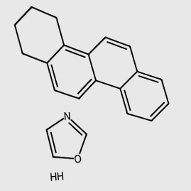 [HH].c1ccc2c(c1)ccc1c3c(ccc12)CCCC3.c1cocn1